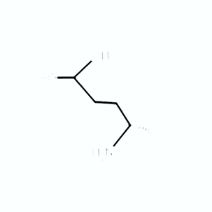 N[C@@H](C=O)CCC(O)O